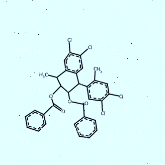 Cc1cc(Cl)c(Cl)cc1C1c2cc(Cl)c(Cl)cc2C(C)C(OC(=O)c2ccccc2)C1OC(=O)c1ccccc1